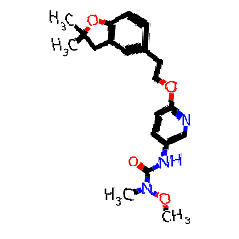 CON(C)C(=O)Nc1ccc(OCCc2ccc3c(c2)CC(C)(C)O3)nc1